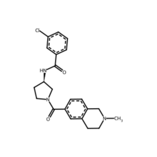 CN1CCc2cc(C(=O)N3CC[C@@H](NC(=O)c4cccc(Cl)c4)C3)ccc2C1